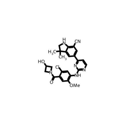 COc1cc(C(=O)N2CC(O)C2)c(Cl)cc1Nc1nccc(-c2cc(C#N)c3c(c2)C(C)(C)CN3)n1